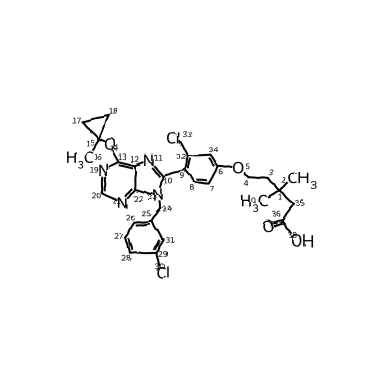 CC(C)(CCOc1ccc(-c2nc3c(OC4(C)CC4)ncnc3n2Cc2cccc(Cl)c2)c(Cl)c1)CC(=O)O